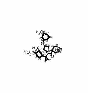 Cc1cc(C2(NC(=O)C3(N4CC[C@@H](Oc5cccc(C(F)(F)F)c5)C4)CCOCC3)CC2)ccc1C(=O)O.Cl